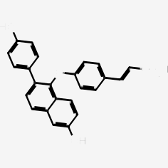 O=C(O)/C=C/c1ccc(Oc2c(-c3ccc(O)cc3)ccc3cc(O)ccc23)cc1